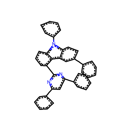 c1ccc(-c2ccc3c(c2)c2c(-c4nc(-c5ccccc5)cc(-c5ccccc5)n4)cccc2n3-c2ccccc2)cc1